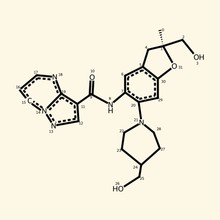 C[C@@]1(CO)Cc2cc(NC(=O)c3cnn4cccnc34)c(N3CCC(CO)CC3)cc2O1